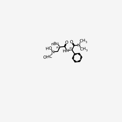 CCCC[C@H](CN(O)C=O)C(=O)N[C@@H](C(=O)N(C)C)c1ccccc1